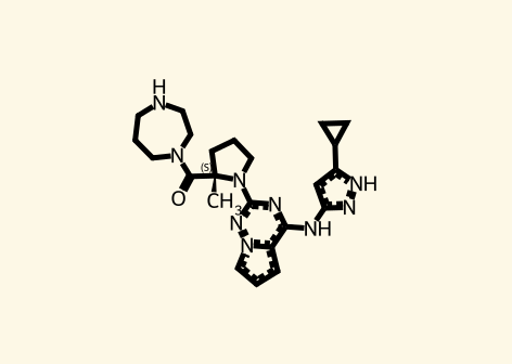 C[C@@]1(C(=O)N2CCCNCC2)CCCN1c1nc(Nc2cc(C3CC3)[nH]n2)c2cccn2n1